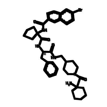 NC1(C(=O)N2CCC(CNC(=O)[C@@H](Cc3ccccc3)NC(=O)C3(NC(=O)c4ccc5cc(Br)ccc5c4)CCCC3)CC2)CCCCC1